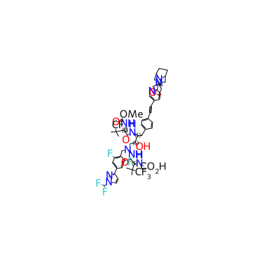 COC(=O)N[C@H](C(=O)N[C@@H](Cc1ccc(C#Cc2ccc(N3CC4CCC(C3)N4[C@@H]3CCOC3)nc2)cc1)[C@@H](O)CN(Cc1c(F)cc(-c2ccn(C(F)F)n2)cc1F)NC(=O)[C@@H](NC(=O)O)C(C)(C)C(F)(F)F)C(C)(C)C(F)(F)F